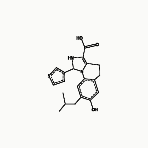 CC(C)Cc1cc2c(cc1O)CCC1=C(C(=O)O)NC(c3ccsc3)N12